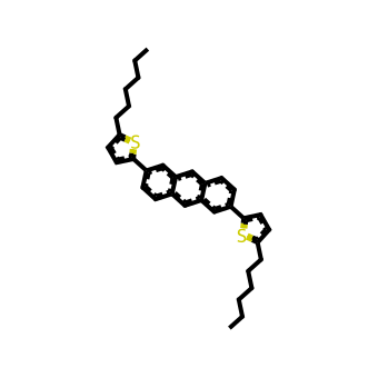 CCCCCCc1ccc(-c2ccc3cc4cc(-c5ccc(CCCCCC)s5)ccc4cc3c2)s1